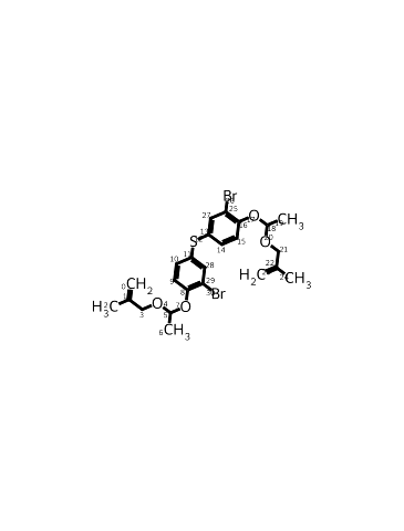 C=C(C)COC(C)Oc1ccc(Sc2ccc(OC(C)OCC(=C)C)c(Br)c2)cc1Br